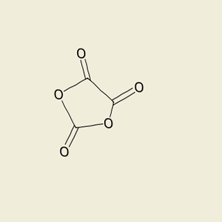 O=C1OC(=O)C(=O)O1